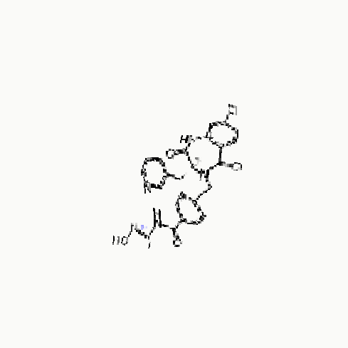 C/C(=N\O)NC(=O)c1ccc(CN2C(=O)c3ccc(Cl)cc3NC(=O)[C@H]2Cc2cccnc2)cc1